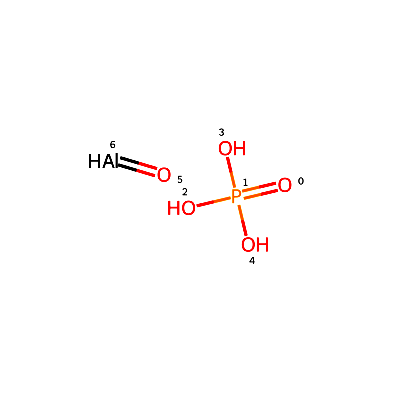 O=P(O)(O)O.[O]=[AlH]